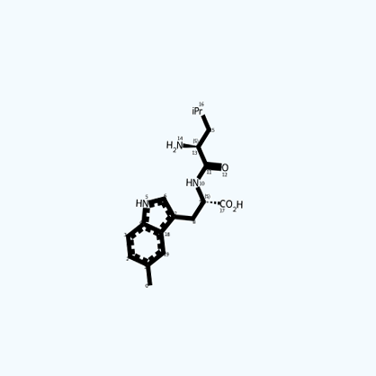 Cc1ccc2[nH]cc(C[C@H](NC(=O)[C@@H](N)CC(C)C)C(=O)O)c2c1